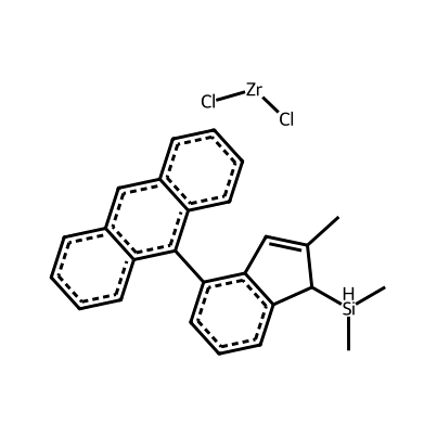 CC1=Cc2c(-c3c4ccccc4cc4ccccc34)cccc2C1[SiH](C)C.[Cl][Zr][Cl]